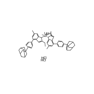 CCC1=Cc2c(-c3ccc(C45CC6CC(CC(C6)C4)C5)cc3)cc(C)cc2[CH]1[Zr]([CH3])([CH3])(=[SiH2])[CH]1C(C)=Cc2c(-c3ccc(C45CC6CC(CC(C6)C4)C5)cc3)cc(C)cc21.Cl.Cl